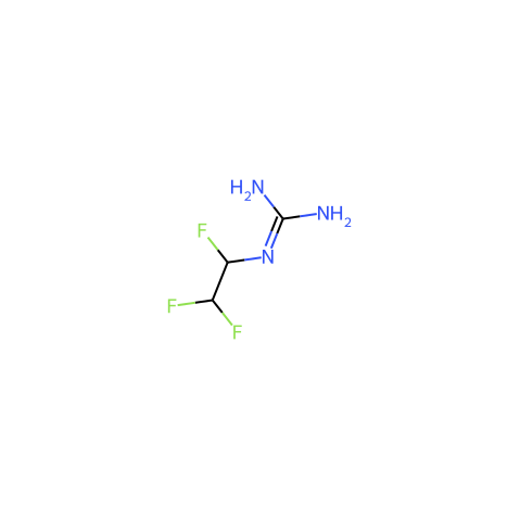 NC(N)=NC(F)C(F)F